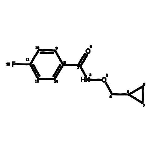 O=C(NOCC1CC1)c1ccc(F)cc1